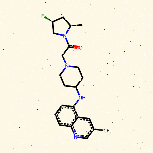 C[C@@H]1C[C@H](F)CN1C(=O)CN1CCC(Nc2cccc3ncc(C(F)(F)F)cc23)CC1